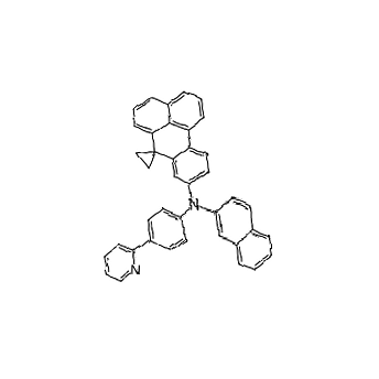 c1ccc(-c2ccc(N(c3ccc4c(c3)C3(CC3)c3cccc5cccc-4c35)c3ccc4ccccc4c3)cc2)nc1